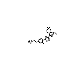 CCn1nc(-c2noc(-c3ccc(CCN)cc3C)n2)c2c1CC(C)(C)CC2